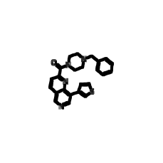 O=C(c1ccc2cncc(-c3ccsc3)c2n1)N1CCN(Cc2ccccc2)CC1